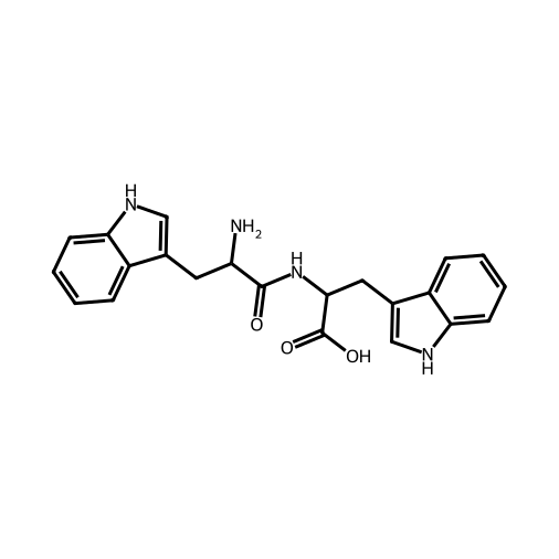 NC(Cc1c[nH]c2ccccc12)C(=O)NC(Cc1c[nH]c2ccccc12)C(=O)O